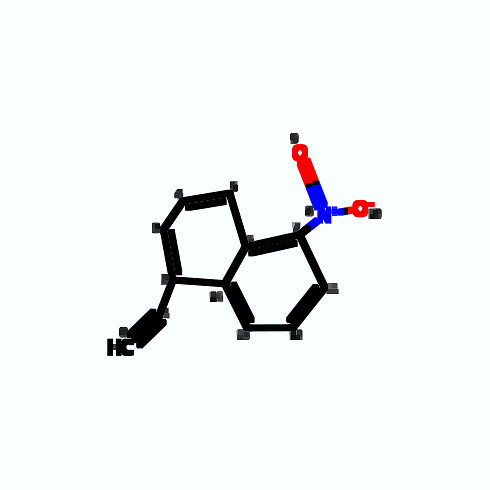 C#Cc1cccc2c([N+](=O)[O-])cccc12